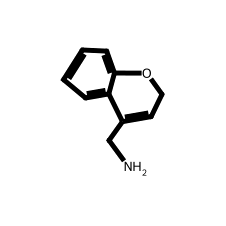 NCC1=CCOc2ccccc21